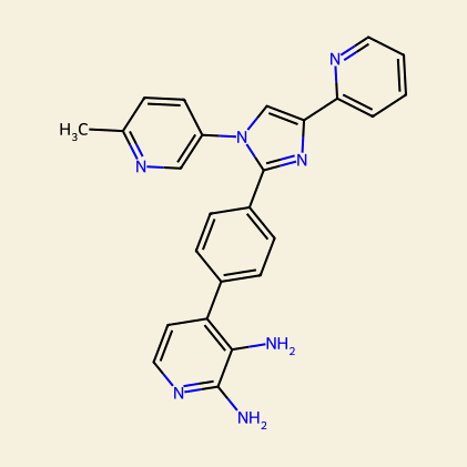 Cc1ccc(-n2cc(-c3ccccn3)nc2-c2ccc(-c3ccnc(N)c3N)cc2)cn1